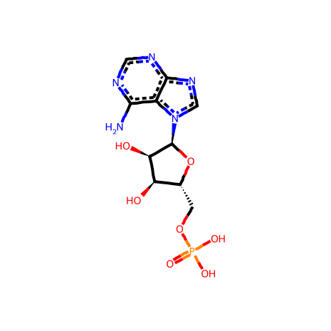 Nc1ncnc2ncn([C@H]3O[C@H](COP(=O)(O)O)[C@@H](O)[C@H]3O)c12